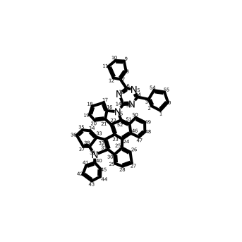 c1ccc(-c2nc(-c3ccccc3)nc(-n3c4ccccc4c4c5c(c6ccccc6c6c5c5ccccc5n6-c5ccccc5)c5ccccc5c43)n2)cc1